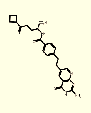 Nc1nc2ncc(CCc3ccc(C(=O)N[C@@H](CCC(=O)C4CCC4)C(=O)O)cc3)nc2c(=O)[nH]1